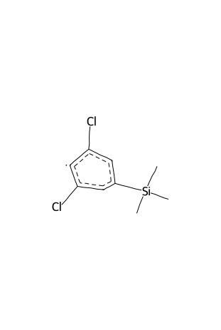 C[Si](C)(C)c1cc(Cl)[c]c(Cl)c1